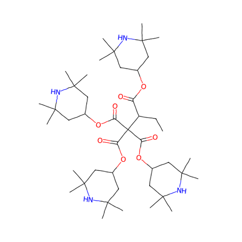 CCC(C(=O)OC1CC(C)(C)NC(C)(C)C1)C(C(=O)OC1CC(C)(C)NC(C)(C)C1)(C(=O)OC1CC(C)(C)NC(C)(C)C1)C(=O)OC1CC(C)(C)NC(C)(C)C1